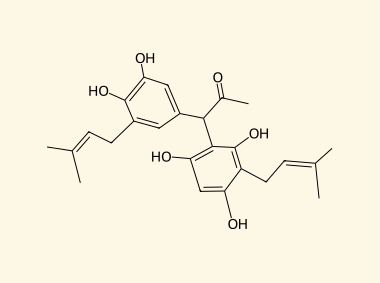 CC(=O)C(c1cc(O)c(O)c(CC=C(C)C)c1)c1c(O)cc(O)c(CC=C(C)C)c1O